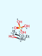 CCCCO.CCOC(C)=O.O=P(O)(O)O